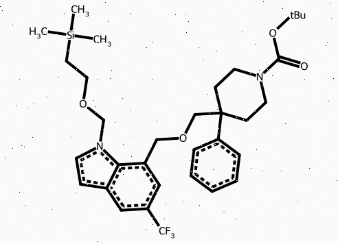 CC(C)(C)OC(=O)N1CCC(COCc2cc(C(F)(F)F)cc3ccn(COCC[Si](C)(C)C)c23)(c2ccccc2)CC1